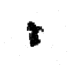 CN1CC[C@@H](NC(=O)Nc2cc(F)cc3c2OCOC3)C[C@@H]1c1nc2ccccc2[nH]1